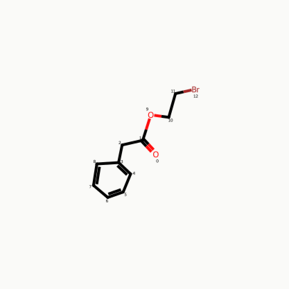 O=C(Cc1ccccc1)OCCBr